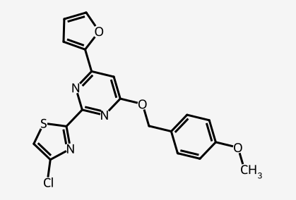 COc1ccc(COc2cc(-c3ccco3)nc(-c3nc(Cl)cs3)n2)cc1